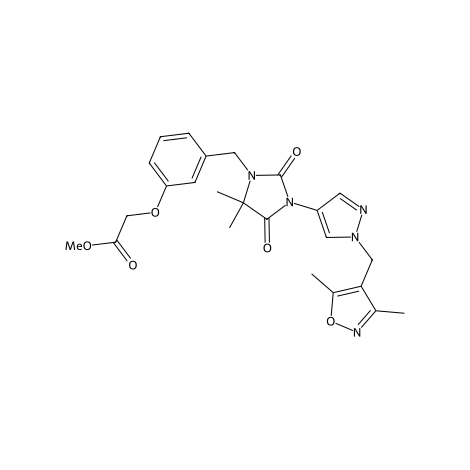 COC(=O)COc1cccc(CN2C(=O)N(c3cnn(Cc4c(C)noc4C)c3)C(=O)C2(C)C)c1